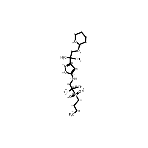 CC(C)(COC1CCCCO1)c1cc(NCC(C)(C)S(=O)(=O)CCCC(F)(F)F)on1